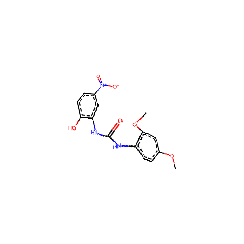 COc1ccc(NC(=O)Nc2cc([N+](=O)[O-])ccc2O)c(OC)c1